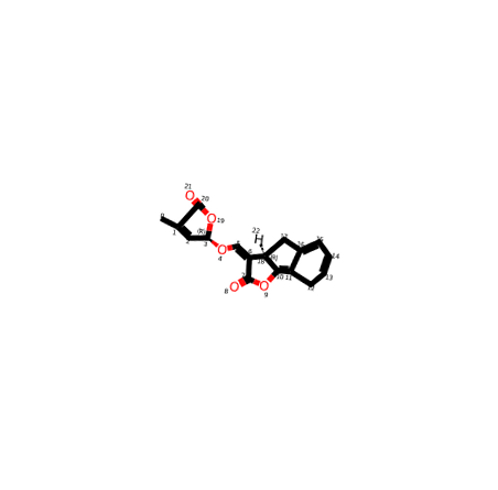 CC1=C[C@H](OC=C2C(=O)OC3=C4CC=CC=C4C[C@H]23)OC1=O